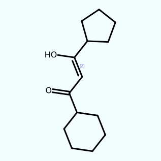 O=C(/C=C(\O)C1CCCC1)C1CCCCC1